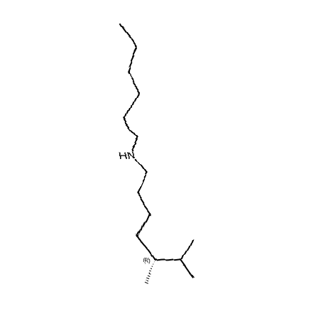 CCCCCCNCCCC[C@@H](C)C(C)C